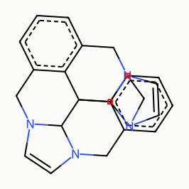 C1=CN2Cc3cccc4c3C35c6c(cccc6CN6C=CN(C4)C63)CN1C25